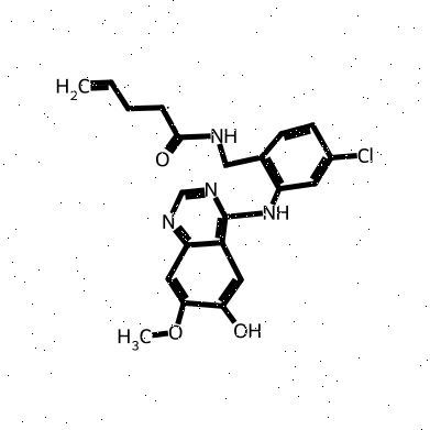 C=CC[CH]C(=O)NCc1ccc(Cl)cc1Nc1ncnc2cc(OC)c(O)cc12